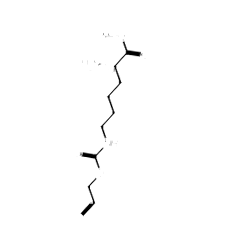 C=CCOC(=O)NCCCC[C@H](N)C(=O)OC